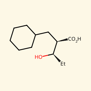 CC[C@@H](O)[C@@H](CC1CCCCC1)C(=O)O